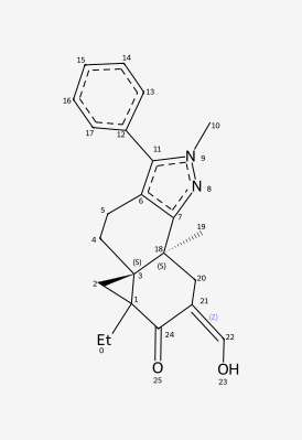 CCC12C[C@]13CCc1c(nn(C)c1-c1ccccc1)[C@@]3(C)C/C(=C/O)C2=O